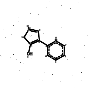 OC1=C(c2ccccn2)C=NC1